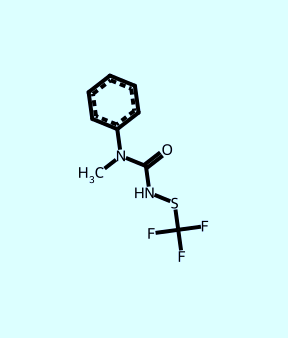 CN(C(=O)NSC(F)(F)F)c1ccccc1